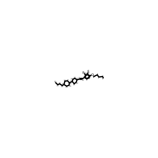 CCCCCOc1ccc(C#CC2CCC(C3CCC(CCCC)CC3)CC2)c(F)c1F